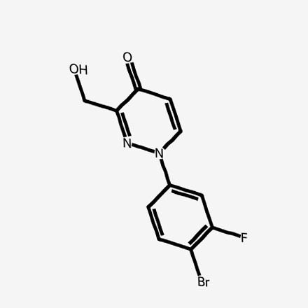 O=c1ccn(-c2ccc(Br)c(F)c2)nc1CO